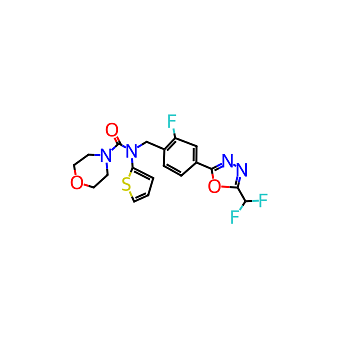 O=C(N1CCOCC1)N(Cc1ccc(-c2nnc(C(F)F)o2)cc1F)c1cccs1